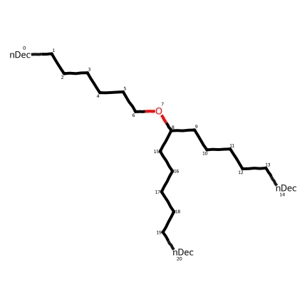 CCCCCCCCCCCCCCCCOC(CCCCCCCCCCCCCCC)CCCCCCCCCCCCCCC